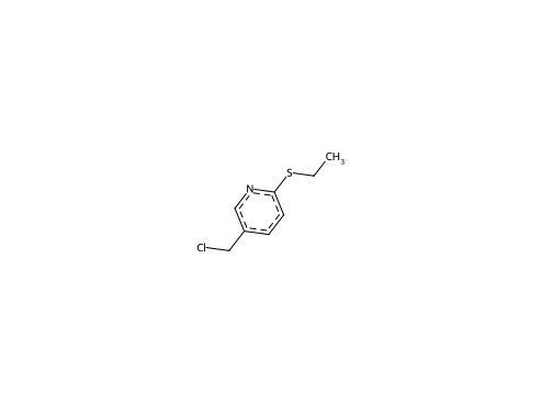 CCSc1ccc(CCl)cn1